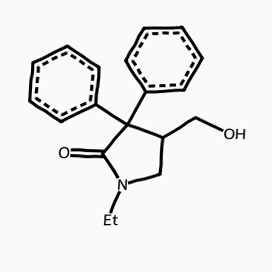 CCN1CC(CO)C(c2ccccc2)(c2ccccc2)C1=O